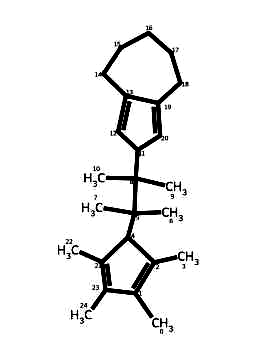 CC1=C(C)C(C(C)(C)C(C)(C)C2C=C3CCCCCC3=C2)C(C)=C1C